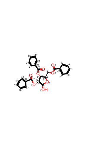 O=C(OC[C@H]1OC(O)[C@H](OC(=O)c2ccccc2)[C@@H]1OC(=O)c1ccccc1)c1ccccc1